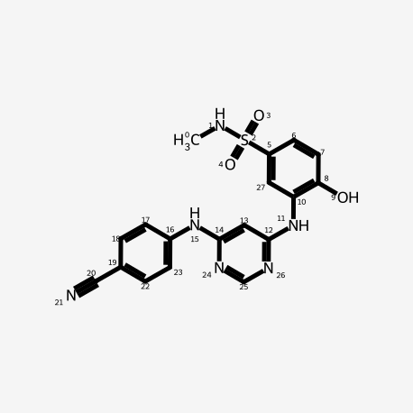 CNS(=O)(=O)c1ccc(O)c(Nc2cc(Nc3ccc(C#N)cc3)ncn2)c1